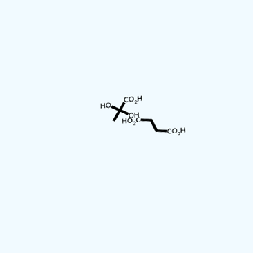 CC(O)(O)C(=O)O.O=C(O)CCC(=O)O